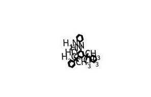 CC(C)(c1ccccc1)c1cc(N/N=C2/C=CC=CC2N)c(O)c(C(C)(C)c2ccccc2)c1